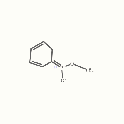 CCCCO/[P+]([O-])=C1/C=CC=CC1